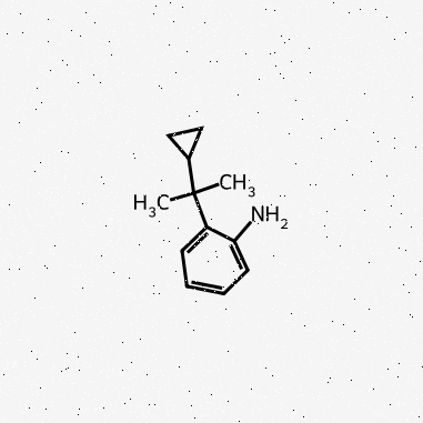 CC(C)(c1ccccc1N)C1CC1